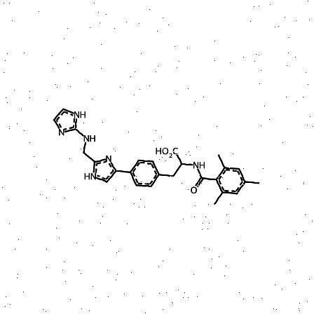 Cc1cc(C)c(C(=O)NC(Cc2ccc(-c3c[nH]c(CNc4ncc[nH]4)n3)cc2)C(=O)O)c(C)c1